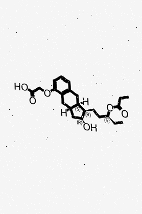 CCC(=O)O[C@@H](CC)CC[C@@H]1[C@H]2Cc3cccc(OCC(=O)O)c3C[C@H]2C[C@H]1O